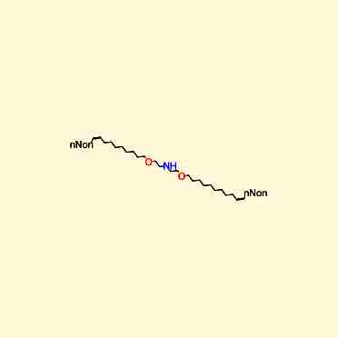 CCCCCCCCC/C=C\CCCCCCCCCOCCNCCOCCCCCCCC/C=C\CCCCCCCCC